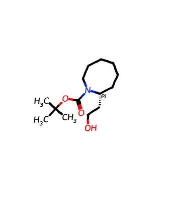 CC(C)(C)OC(=O)N1CCCCCC[C@@H]1CCO